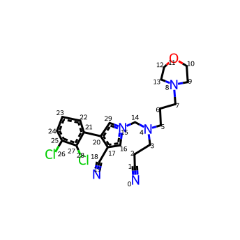 N#CCCN(CCCN1CCOCC1)Cn1cc(C#N)c(-c2cccc(Cl)c2Cl)c1